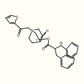 O=C(C[N+]12CCC(CC1)[C@@H](OC(=O)C(Cc1ccccc1)Nc1ccccc1)C2)c1cccs1